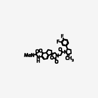 CNC(=O)NC1=CC=C2C(CC[C@]23CN(CC(=O)N2C(c4ccc(F)c(F)c4)CC[C@@H]2C)C(=O)O3)C1=O